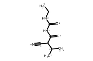 CCNC(=O)NC(=O)C(C#N)C(C)C